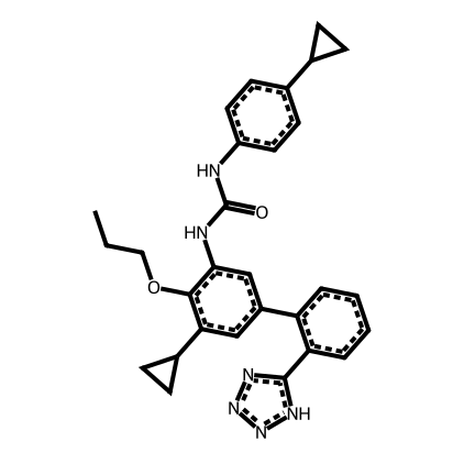 CCCOc1c(NC(=O)Nc2ccc(C3CC3)cc2)cc(-c2ccccc2-c2nnn[nH]2)cc1C1CC1